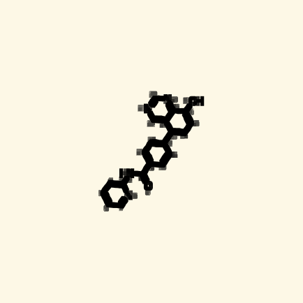 O=C(Nc1ccccn1)c1ccc(-c2ccc(O)c3ncncc23)cc1